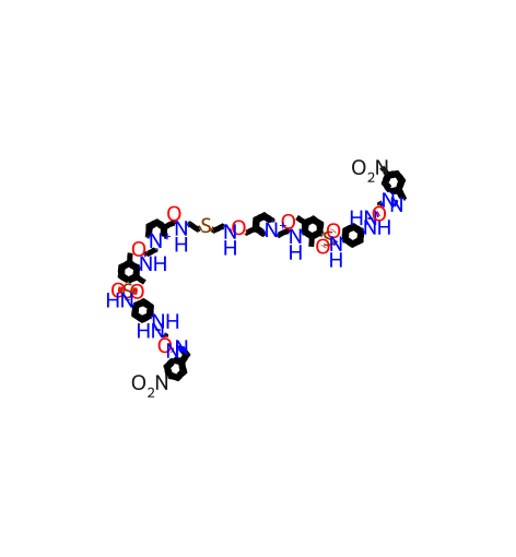 Cc1ccc(S(=O)(=O)Nc2ccc(NNOCn3ncc4ccc([N+](=O)[O-])cc43)cc2)c(C)c1NC(=O)C[n+]1cccc(CONCCSCCNC(=O)c2ccc[n+](CC(=O)Nc3c(C)ccc(S(=O)(=O)Nc4ccc(NNCOn5ncc6ccc([N+](=O)[O-])cc65)cc4)c3C)c2)c1